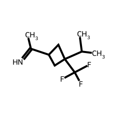 CC(=N)C1CC(C(C)C)(C(F)(F)F)C1